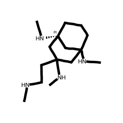 CNCCC1(NC)CC2(NC)CCC[C@@](NC)(C2)C1